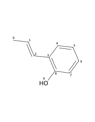 CC=Cc1ccc[c]c1O